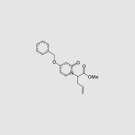 C=CCC(C(=O)OC)n1ccc(OCc2ccccc2)cc1=O